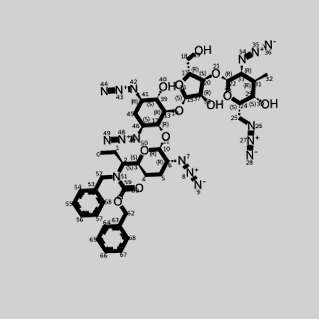 CC[C@@H]([C@@H]1CC[C@@H](N=[N+]=[N-])[C@@H](O[C@H]2[C@H](O[C@@H]3O[C@H](CO)[C@@H](O[C@H]4O[C@@H](CN=[N+]=[N-])[C@@H](O)[C@H](C)[C@H]4N=[N+]=[N-])[C@H]3O)[C@@H](O)[C@H](N=[N+]=[N-])C[C@@H]2N=[N+]=[N-])O1)N(Cc1ccccc1)C(=O)OCc1ccccc1